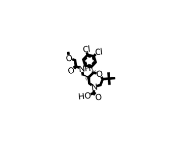 COCC(=O)NC[C@@H]1CN(C(=O)O)CC(C(C)(C)C)O[C@H]1c1ccc(Cl)c(Cl)c1